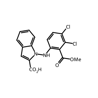 COC(=O)c1c(Nn2c(C(=O)O)cc3ccccc32)ccc(Cl)c1Cl